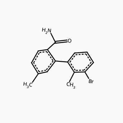 Cc1ccc(C(N)=O)c(-c2cccc(Br)c2C)c1